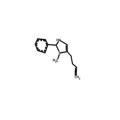 C=CCCC1=CNC(c2ccccc2)N1C